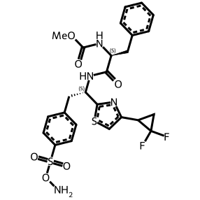 COC(=O)N[C@@H](Cc1ccccc1)C(=O)N[C@@H](Cc1ccc(S(=O)(=O)ON)cc1)c1nc(C2CC2(F)F)cs1